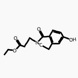 CCOC(=O)CCN1CCc2cc(O)ccc2C1=O